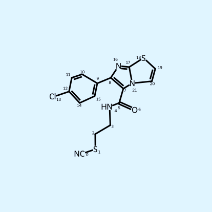 N#CSCCNC(=O)c1c(-c2ccc(Cl)cc2)nc2sccn12